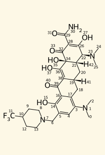 CN(C)c1cc(CN2CCC(C(F)(F)F)CC2)c(O)c2c1C[C@H]1C[C@H]3[C@H](N(C)C)C(O)=C(C(N)=O)C(=O)[C@@]3(O)C(O)=C1C2=O